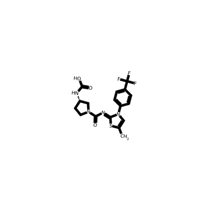 Cc1cn(-c2ccc(C(F)(F)F)cc2)/c(=N/C(=O)N2CC[C@H](NC(=O)O)C2)s1